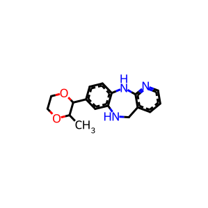 CC1OCCOC1c1ccc2c(c1)NCc1cccnc1N2